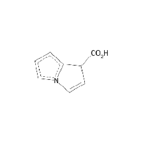 O=C(O)C1C=Cn2cccc21